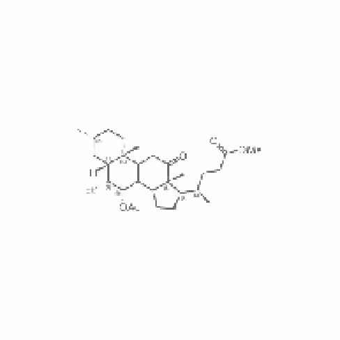 CC[C@H]1[C@@H](OC(C)=O)C2C3CC[C@H]([C@H](C)CCC(=O)OC)[C@@]3(C)C(=O)CC2[C@@]2(C)CC[C@@H](C)C[C@@H]12